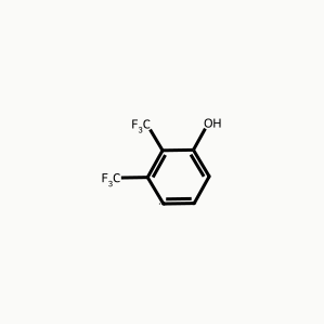 Oc1cc[c]c(C(F)(F)F)c1C(F)(F)F